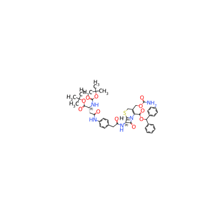 CC(C)(C)OC(=O)N[C@H](CC(=O)Nc1ccc(CC(=O)N[C@@H]2C(=O)N3C(C(=O)OC(c4ccccc4)c4ccccc4)=C(COC(N)=O)CS[C@H]23)cc1)C(=O)OC(C)(C)C